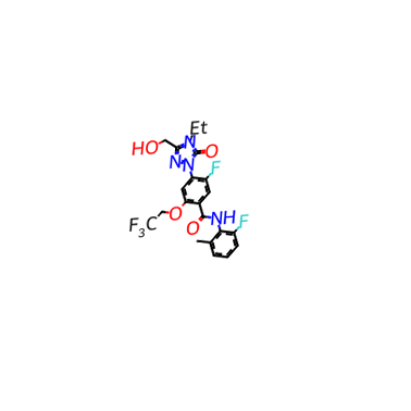 CCn1c(CO)nn(-c2cc(OCC(F)(F)F)c(C(=O)Nc3c(C)cccc3F)cc2F)c1=O